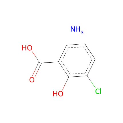 N.O=C(O)c1cccc(Cl)c1O